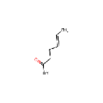 CC=CCCC(=O)CCC